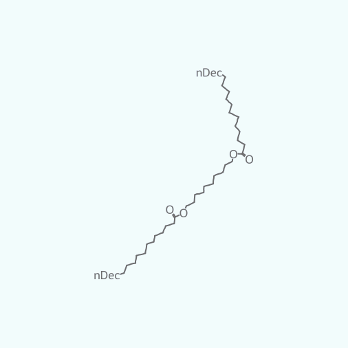 CCCCCCCCCCCCCCCCCCCCCC(=O)OCCCCCCCCCCOC(=O)CCCCCCCCCCCCCCCCCCCCC